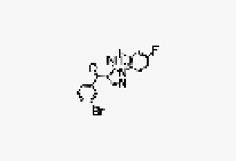 Nc1c(C(=O)c2cccc(Br)c2)cnn1-c1ccc(F)cc1F